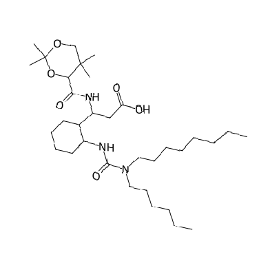 CCCCCCCCN(CCCCCC)C(=O)NC1CCCCC1C(CC(=O)O)NC(=O)C1OC(C)(C)OCC1(C)C